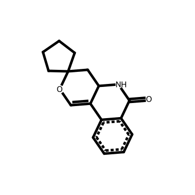 O=C1NC2CC3(CCCC3)OC=C2c2ccccc21